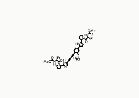 COC(=O)NC(C(=O)N1CCCC1c1ncc(-c2ccc(C#CC#Cc3cnc(C4CCCN4C(=O)[C@@H](NC(=O)OC)C(C)C)[nH]3)c(C)c2)[nH]1)C(C)C.Cl.Cl